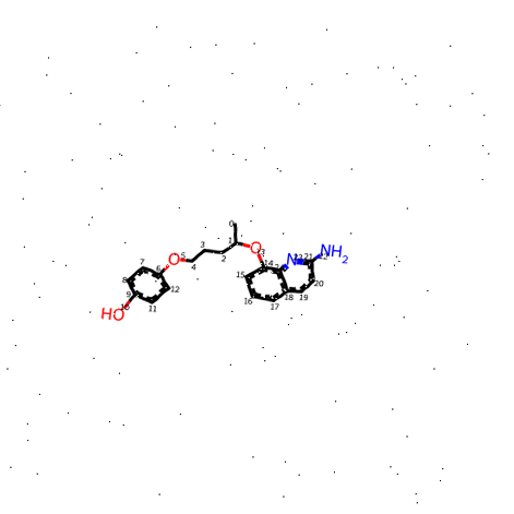 CC(CCCOc1ccc(O)cc1)Oc1cccc2ccc(N)nc12